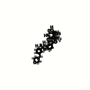 BC(B)(Nc1cccc2c1CN(C1(B)C(=O)NC(=O)C(B)(O)C1(B)O)C2=O)c1cccc(CN2CCOCC2)c1